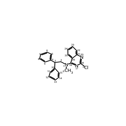 CN(CC(c1ccccc1)c1ccccc1)c1nc(Cl)nc2ccccc12